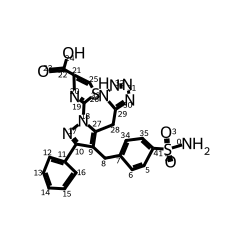 NS(=O)(=O)c1ccc(Cc2c(-c3ccccc3)nn(-c3nc(C(=O)O)cs3)c2Cc2nnn[nH]2)cc1